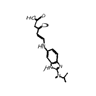 CC(C)N(C)c1nc2ccc(NC=CC(=O)CC(=O)O)cc2[nH]1